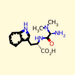 CN(C)[C@@H](N)C(=O)N[C@@H](Cc1c[nH]c2ccccc12)C(=O)O